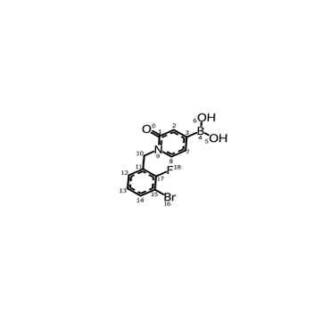 O=c1cc(B(O)O)ccn1Cc1cccc(Br)c1F